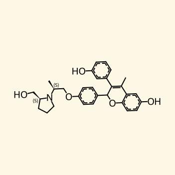 CC1=C(c2cccc(O)c2)C(c2ccc(OC[C@H](C)N3CCC[C@H]3CO)cc2)Oc2ccc(O)cc21